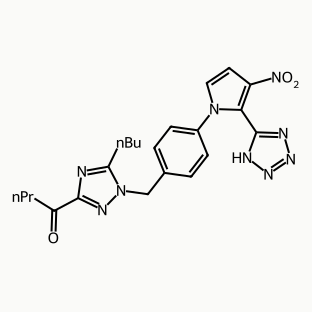 CCCCc1nc(C(=O)CCC)nn1Cc1ccc(-n2ccc([N+](=O)[O-])c2-c2nnn[nH]2)cc1